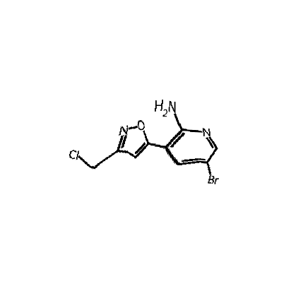 Nc1ncc(Br)cc1-c1cc(CCl)no1